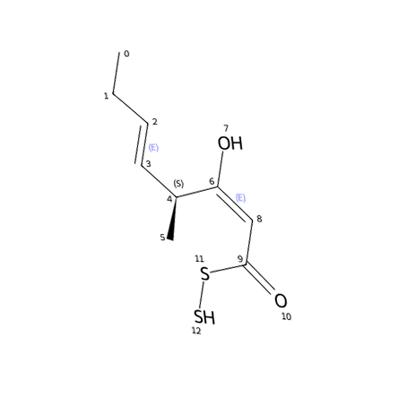 CC/C=C/[C@H](C)/C(O)=C\C(=O)SS